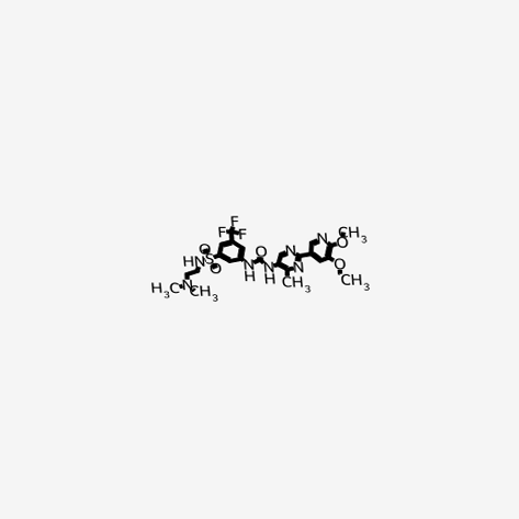 CCOc1cc(-c2ncc(NC(=O)Nc3cc(C(F)(F)F)cc(S(=O)(=O)NCCN(C)C)c3)c(C)n2)cnc1OC